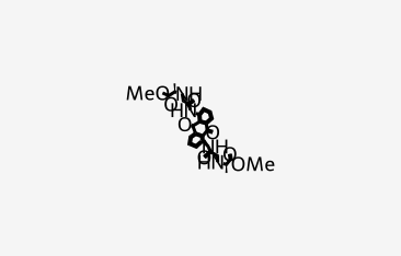 COC(=O)[C@@H](C)NCC(=O)Nc1cccc2c1C(=O)c1cccc(NC(=O)CN[C@H](C)C(=O)OC)c1C2=O